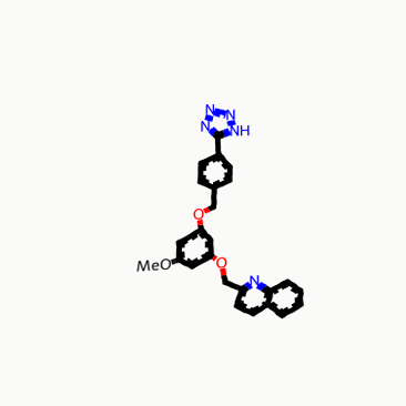 COc1cc(OCc2ccc(-c3nnn[nH]3)cc2)cc(OCc2ccc3ccccc3n2)c1